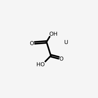 O=C(O)C(=O)O.[U]